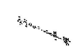 O=C(CCCC[C@@H]1SC[C@@H]2NC(=O)N[C@@H]21)NCCOCCOCCOCCOCCOCCOCCNC(=O)CCN1C(=O)C=CC1=O